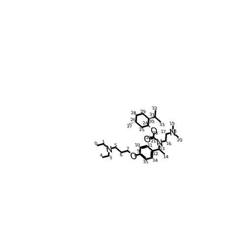 CCN(CC)CCCOc1ccc(C(C)N(CCN(C)C)C(=O)O[C@@H]2C[C@H](C)CC[C@H]2C(C)C)cc1